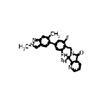 [2H]C1([2H])c2ncccc2C(=O)N1Cc1c(F)cc(-c2cc3cn(C)nc3cc2C)cc1F